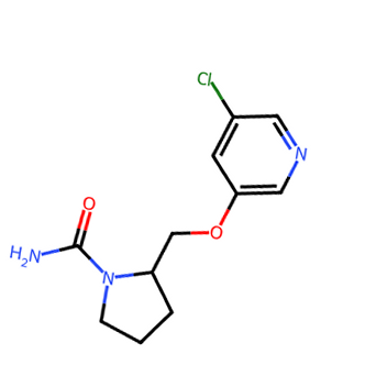 NC(=O)N1CCCC1COc1cncc(Cl)c1